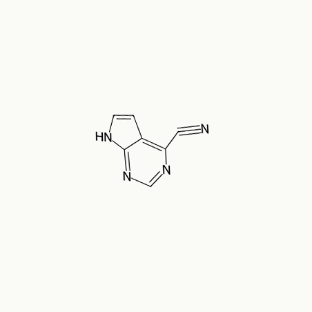 N#Cc1ncnc2[nH]ccc12